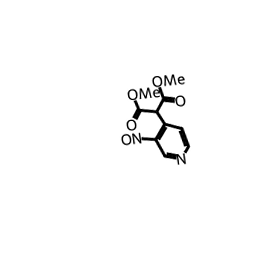 COC(=O)C(C(=O)OC)c1ccncc1N=O